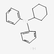 P.c1cc[c]([Rh]([c]2ccccc2)[CH]2CCCCC2)cc1